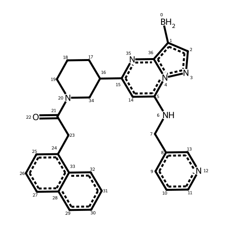 Bc1cnn2c(NCc3cccnc3)cc(C3CCCN(C(=O)Cc4cccc5ccccc45)C3)nc12